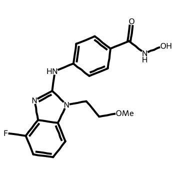 COCCn1c(Nc2ccc(C(=O)NO)cc2)nc2c(F)cccc21